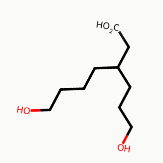 O=C(O)CC(CCCO)CCCCO